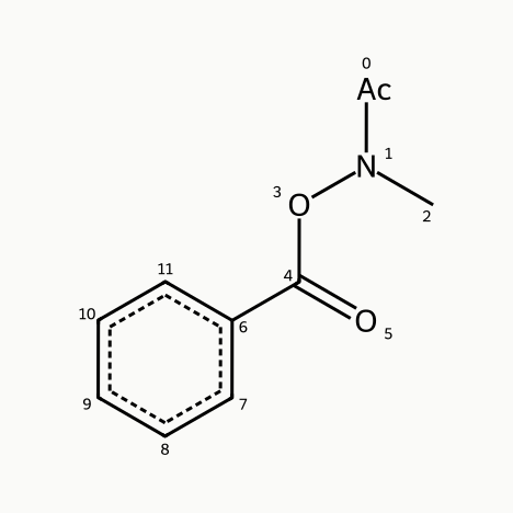 CC(=O)N(C)OC(=O)c1ccccc1